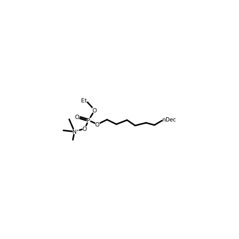 CCCCCCCCCCCCCCCCOP(=O)(OCC)O[N+](C)(C)C